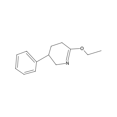 CCOC1=NCC(c2ccccc2)CC1